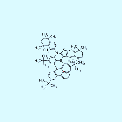 CC(C)(C)C1=CC2=C(C#CC1)N(c1ccc(C(C)(C)C)cc1C1=CC=CCC1)c1cc(C(C)(C)C)cc3c1B2c1c(sc2cc4c(cc12)C(C)(C)CCC4(C)C)N3c1ccc2c(c1)C(C)(C)CCC2(C)C